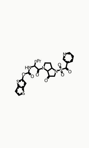 CCCC(NC(=O)Oc1cc2sccc2s1)C(=O)N1CCC2C1C(=O)CN2S(=O)(=O)C(=O)c1cccnc1